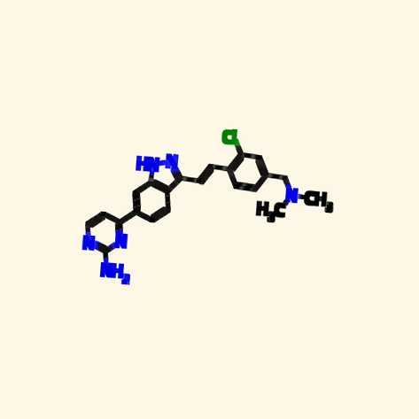 CN(C)Cc1ccc(/C=C/c2n[nH]c3cc(-c4ccnc(N)n4)ccc23)c(Cl)c1